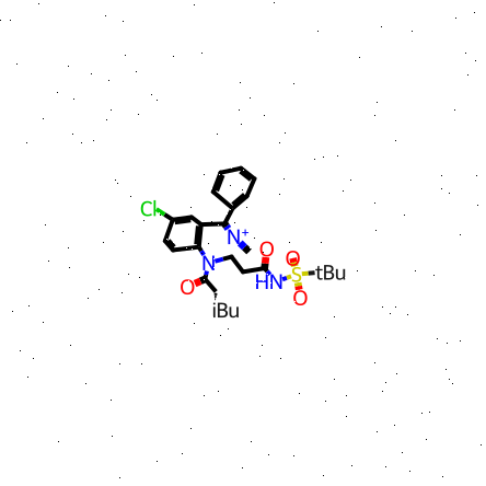 C=[N+]=C(c1ccccc1)c1cc(Cl)ccc1N(CCC(=O)NS(=O)(=O)C(C)(C)C)C(=O)C[C@@H](C)CC